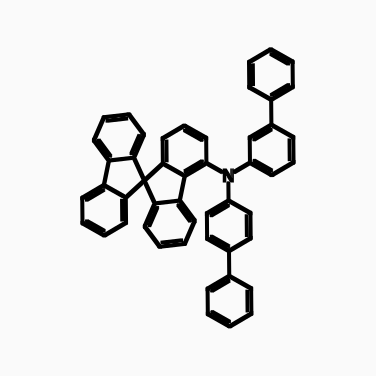 c1ccc(-c2ccc(N(c3cccc(-c4ccccc4)c3)c3cccc4c3-c3ccccc3C43c4ccccc4-c4ccccc43)cc2)cc1